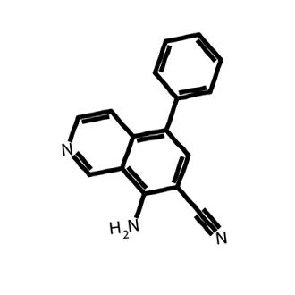 N#Cc1cc(-c2ccccc2)c2ccncc2c1N